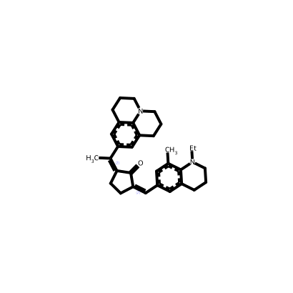 CCN1CCCc2cc(/C=C3/CC/C(=C(\C)c4cc5c6c(c4)CCCN6CCC5)C3=O)cc(C)c21